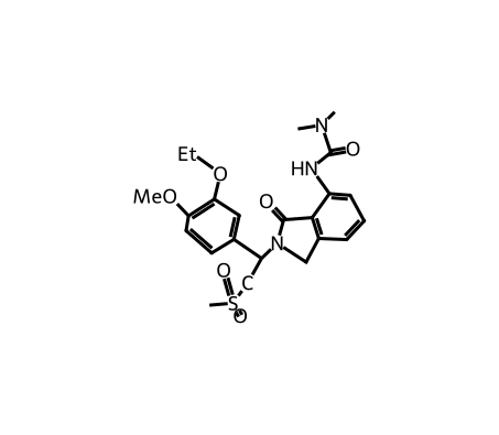 CCOc1cc(C(CS(C)(=O)=O)N2Cc3cccc(NC(=O)N(C)C)c3C2=O)ccc1OC